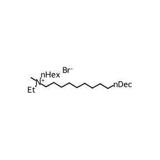 CCCCCCCCCCCCCCCCCCC[N+](C)(CC)CCCCCC.[Br-]